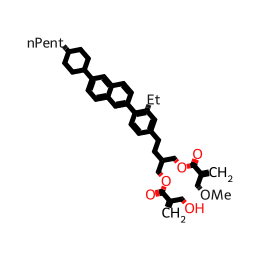 C=C(CO)C(=O)OCC(CCc1ccc(-c2ccc3cc(C4CCC(CCCCC)CC4)ccc3c2)c(CC)c1)COC(=O)C(=C)COC